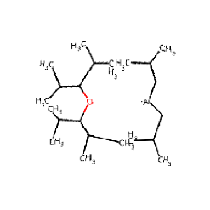 CC(C)C(OC(C(C)C)C(C)C)C(C)C.CC(C)[CH2][Al][CH2]C(C)C